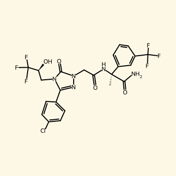 C[C@@](NC(=O)Cn1nc(-c2ccc(Cl)cc2)n(C[C@H](O)C(F)(F)F)c1=O)(C(N)=O)c1cccc(C(F)(F)F)c1